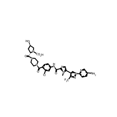 Cn1c(-c2cn(-c3ccc(N)cn3)nc2C(F)(F)F)cnc1C(=O)Nc1ccc(C(=O)N2CCN(C(=O)[C@@H]3C[C@@H](O)CN3C(=O)O)CC2)c(Cl)c1